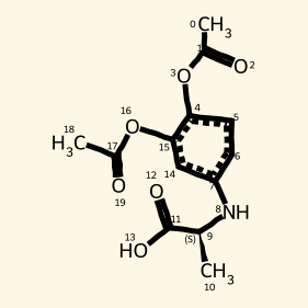 CC(=O)Oc1ccc(N[C@@H](C)C(=O)O)cc1OC(C)=O